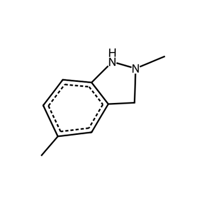 Cc1ccc2c(c1)CN(C)N2